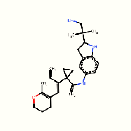 C=C/C(=C\C1=C(C)OCCC1)C1(C(=C)Nc2ccc3c(c2)CC(C(C)(C)CN)N3)CC1